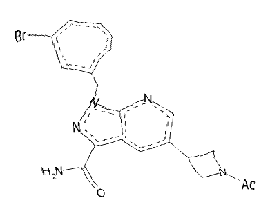 CC(=O)N1CC(c2cnc3c(c2)c(C(N)=O)nn3-c2cccc(Br)c2)C1